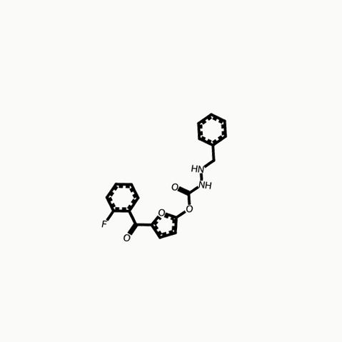 O=C(NNCc1ccccc1)Oc1ccc(C(=O)c2ccccc2F)o1